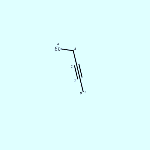 [CH]C#CCCC